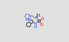 CCN(CCN1CCCCC1)c1c(Nc2c[nH]c3ccccc23)c(=O)c1=O